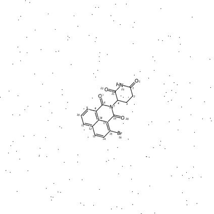 O=C1CCC(N2C(=O)c3cccc4ccc(Br)c(c34)C2=O)C(=O)N1